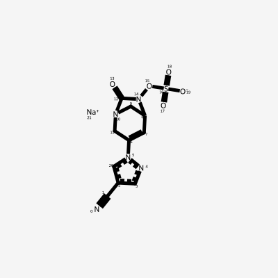 N#Cc1cnn(C2=CC3CN(C2)C(=O)N3OS(=O)(=O)[O-])c1.[Na+]